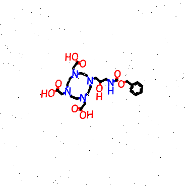 O=C(O)CN1CCN(CC(=O)O)CCN(CC(O)CNC(=O)OCc2ccccc2)CCN(CC(=O)O)CC1